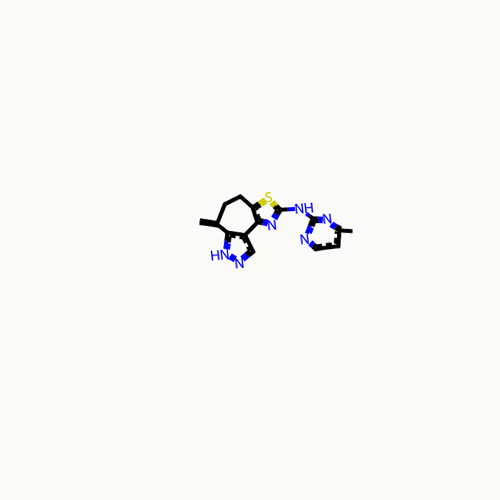 C=C1CCc2sc(Nc3nccc(C)n3)nc2-c2cn[nH]c21